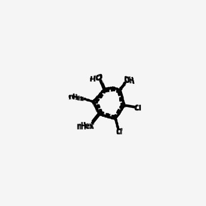 CCCCCCc1c(O)c(O)c(Cl)c(Cl)c1CCCCCC